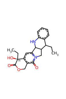 CCC1c2ccccc2NC2c3cc4c(c(=O)n3CC12)COC(=O)[C@]4(O)CC